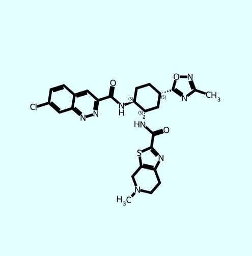 Cc1noc([C@H]2CC[C@H](NC(=O)c3cc4ccc(Cl)cc4nn3)[C@@H](NC(=O)c3nc4c(s3)CN(C)CC4)C2)n1